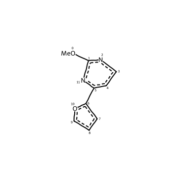 COc1nccc(-c2ccco2)n1